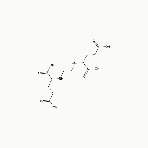 O=C(O)CCC(NCCNC(CCC(=O)O)C(=O)O)C(=O)O